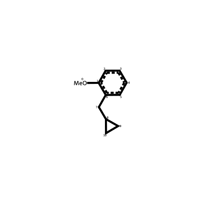 COc1ccccc1CC1CC1